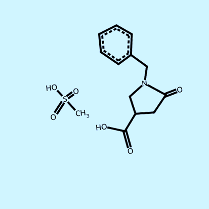 CS(=O)(=O)O.O=C(O)C1CC(=O)N(Cc2ccccc2)C1